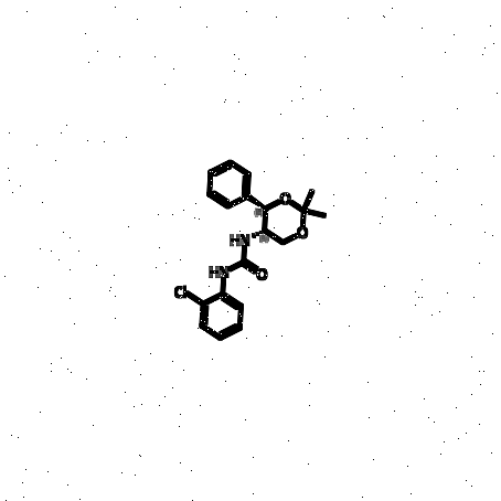 CC1(C)OC[C@H](NC(=O)Nc2ccccc2Cl)[C@@H](c2ccccc2)O1